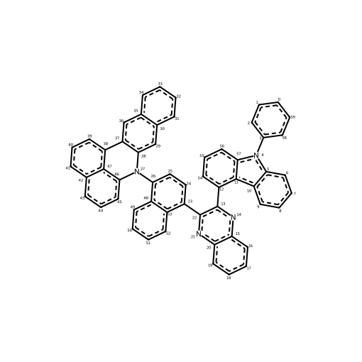 c1ccc(-n2c3ccccc3c3c(-c4nc5ccccc5nc4-c4ccc(N5c6cc7ccccc7cc6-c6cccc7cccc5c67)c5ccccc45)cccc32)cc1